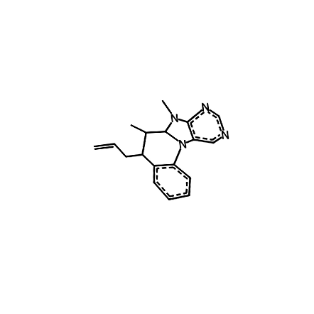 C=CCC1c2ccccc2N2c3cncnc3N(C)C2C1C